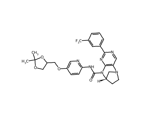 CC1(C)OCC(COc2ccc(NC(=O)N3c4nc(-c5cccc(C(F)(F)F)c5)ncc4N4CC[C@H]3C4)nc2)O1